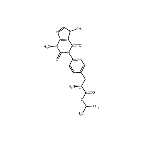 CC(C)OC(=O)[C@@H](N)Cc1ccc(-n2c(=O)c3c(ncn3C)n(C)c2=O)cc1